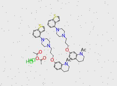 CC(=O)N1CCCc2ccc(OCCCN3CCN(c4cccc5sccc45)CC3)cc21.CC(=O)N1CCCc2ccc(OCCCN3CCN(c4cccc5sccc45)CC3)cc21.CC(=O)OC(C)=O.Cl.Cl